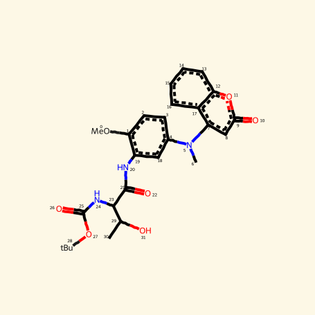 COc1ccc(N(C)c2cc(=O)oc3ccccc23)cc1NC(=O)C(NC(=O)OC(C)(C)C)C(C)O